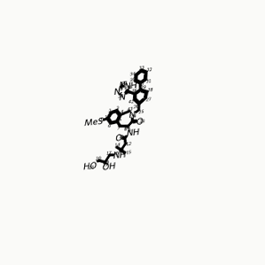 CSc1ccc2c(c1)C[C@@H](NC(=O)CC(C)(C)NC[C@H](O)CO)C(=O)N(Cc1ccc(-c3ccccc3)c(-c3nnn[nH]3)c1)C2